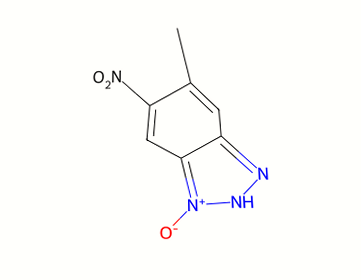 Cc1cc2n[nH][n+]([O-])c2cc1[N+](=O)[O-]